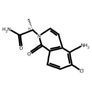 C[C@@H](C(N)=O)n1ccc2c(N)c(Cl)ccc2c1=O